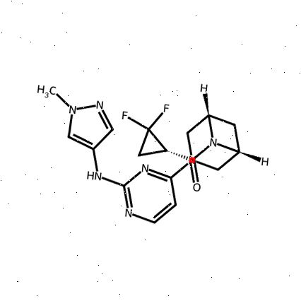 Cn1cc(Nc2nccc(N3C[C@H]4C[C@@H](C3)N4C(=O)[C@@H]3CC3(F)F)n2)cn1